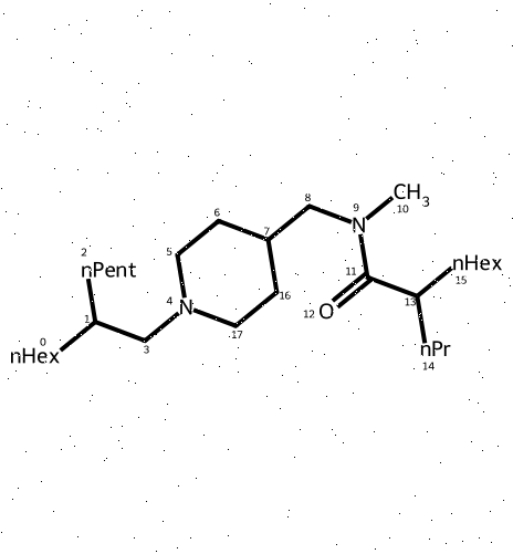 CCCCCCC(CCCCC)CN1CCC(CN(C)C(=O)C(CCC)CCCCCC)CC1